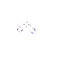 C[Si](C)(Cn1cncn1)Cn1cncn1